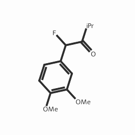 COc1ccc(C(F)C(=O)C(C)C)cc1OC